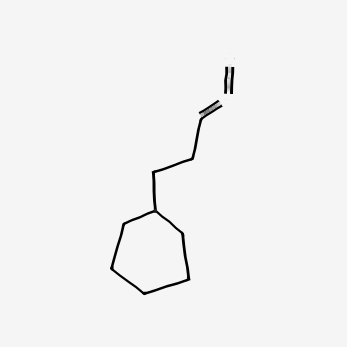 O=S=C[CH]CC1CCCCC1